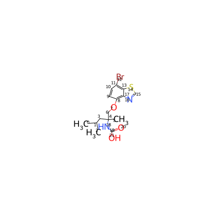 CC(C)CC(C)(COc1ccc(Br)c2scnc12)NC(=O)O